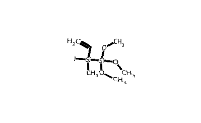 C=C[Si](C)(I)[Si](OC)(OC)OC